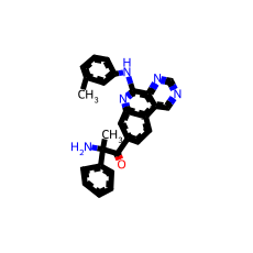 Cc1cccc(Nc2nc3cc(C(=O)C(C)(N)c4ccccc4)ccc3c3cncnc23)c1